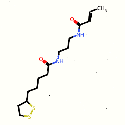 CC=CC(=O)NCCCNC(=O)CCCCC1CCSS1